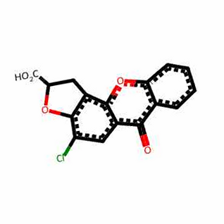 O=C(O)C1Cc2c(c(Cl)cc3c(=O)c4ccccc4oc23)O1